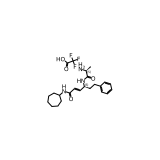 C[C@H](N)C(=O)N[C@H](C=CC(=O)NC1CCCCCC1)CCc1ccccc1.O=C(O)C(F)(F)F